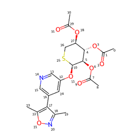 CC(=O)O[C@@H]1[C@@H](OC(C)=O)[C@@H](Oc2cncc(-c3c(C)noc3C)c2)SC[C@H]1OC(C)=O